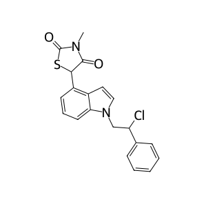 CN1C(=O)SC(c2cccc3c2ccn3CC(Cl)c2ccccc2)C1=O